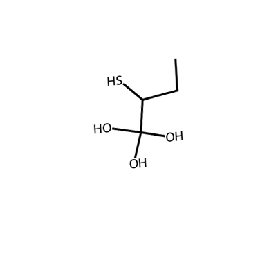 CCC(S)C(O)(O)O